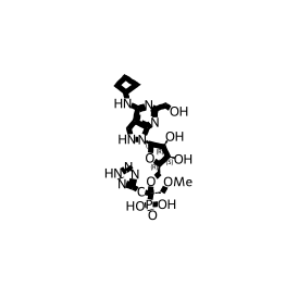 COC[C@](Cc1nn[nH]n1)(OC[C@H]1O[C@@H](N2NCc3c(NC4CCC4)nc(CO)nc32)[C@H](O)[C@@H]1O)P(=O)(O)O